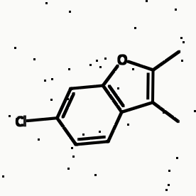 Cc1oc2cc(Cl)ccc2c1C